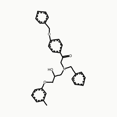 Cc1cccc(OCC(O)CN(CC(=O)c2ccc(OCc3ccccc3)cc2)Cc2ccccc2)c1